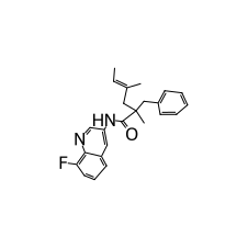 C/C=C(\C)CC(C)(Cc1ccccc1)C(=O)Nc1cnc2c(F)cccc2c1